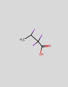 CC(I)C(I)(I)C(=O)O